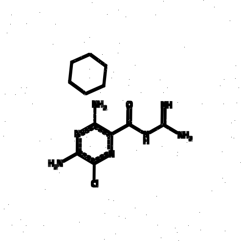 C1CCCCC1.N=C(N)NC(=O)c1nc(Cl)c(N)nc1N